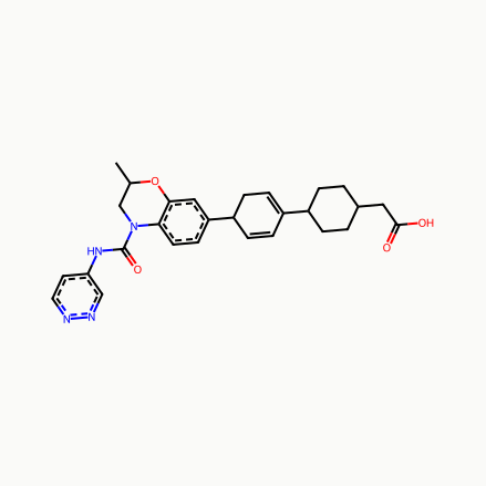 CC1CN(C(=O)Nc2ccnnc2)c2ccc(C3C=CC(C4CCC(CC(=O)O)CC4)=CC3)cc2O1